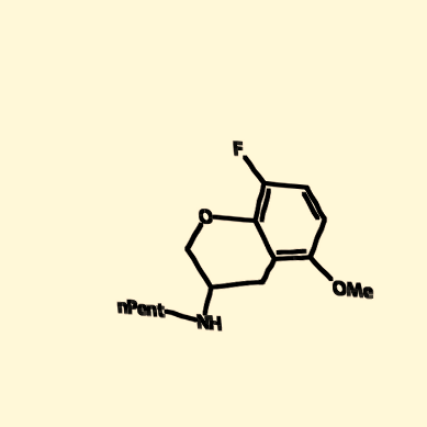 CCCCCNC1COc2c(F)ccc(OC)c2C1